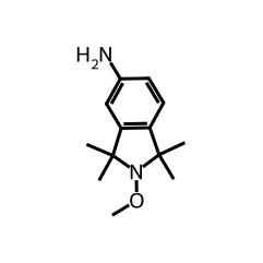 CON1C(C)(C)c2ccc(N)cc2C1(C)C